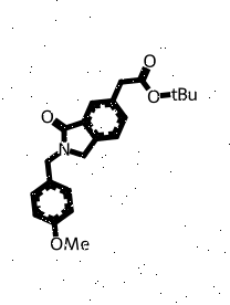 COc1ccc(CN2Cc3ccc(CC(=O)OC(C)(C)C)cc3C2=O)cc1